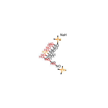 CCCCCCCCO.CCCCCCCCO.CCCCCCCCP.C[PH](C)(C)C.C[PH](C)(C)C.O=NO.O=NO.O=NO.O=NO.O=NO.O=NO.[NaH]